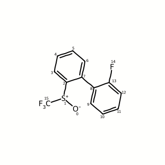 [O-][S+](c1ccccc1-c1ccccc1F)C(F)(F)F